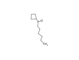 CCCCCCP(Cl)C1CCC1